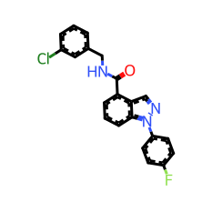 O=C(NCc1cccc(Cl)c1)c1cccc2c1cnn2-c1ccc(F)cc1